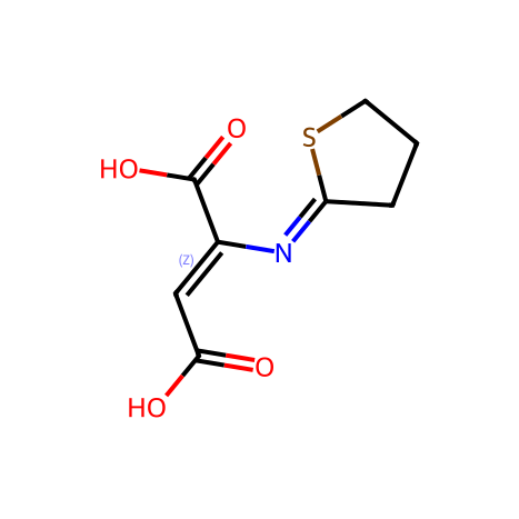 O=C(O)/C=C(\N=C1CCCS1)C(=O)O